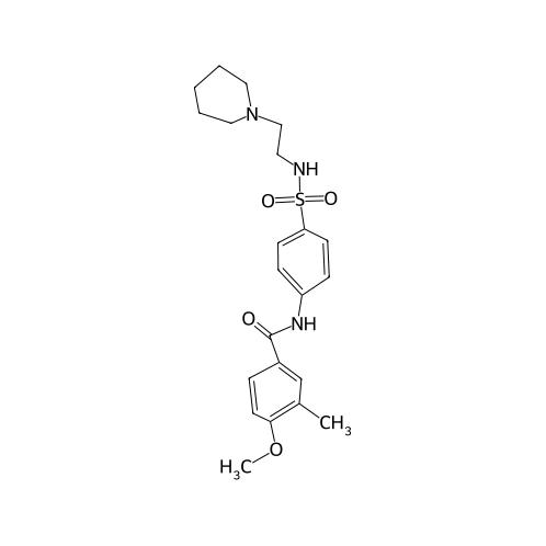 COc1ccc(C(=O)Nc2ccc(S(=O)(=O)NCCN3CCCCC3)cc2)cc1C